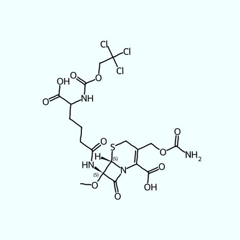 CO[C@@]1(NC(=O)CCCC(NC(=O)OCC(Cl)(Cl)Cl)C(=O)O)C(=O)N2C(C(=O)O)=C(COC(N)=O)CS[C@H]21